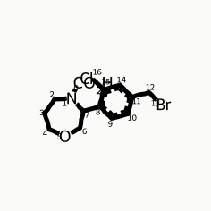 O=C(O)N1CCCOCC1c1ccc(CBr)cc1Cl